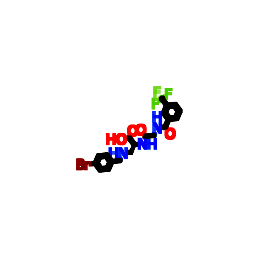 O=C(CNC(=O)c1cccc(C(F)(F)F)c1)N[C@@H](CNCc1ccc(Br)cc1)C(=O)O